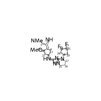 CN/C=C(\C=N)c1ccc(Nc2nc3n(n2)CCCN3c2ccc(F)c(F)c2)cc1OC